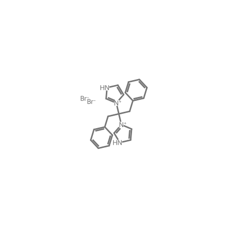 [Br-].[Br-].c1ccc(CC(Cc2ccccc2)([n+]2cc[nH]c2)[n+]2cc[nH]c2)cc1